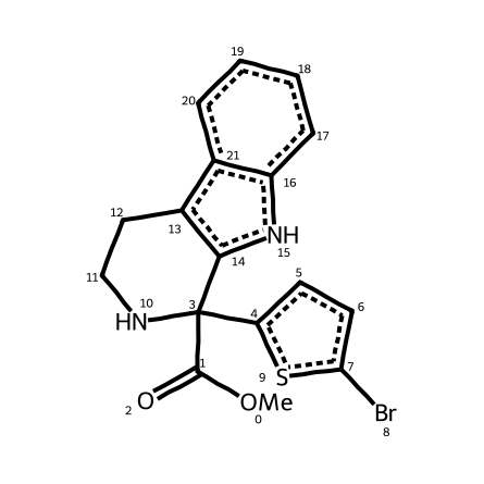 COC(=O)C1(c2ccc(Br)s2)NCCc2c1[nH]c1ccccc21